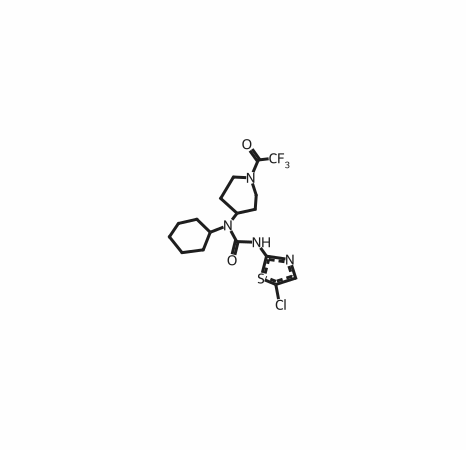 O=C(Nc1ncc(Cl)s1)N(C1CCCCC1)C1CCN(C(=O)C(F)(F)F)CC1